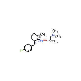 C[C@@H](CO/N=C1/C(=C/c2ccc(F)cc2)CCC[C@@H]1C)CN(C)C